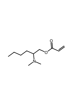 C=CC(=O)OCC(CCCC)N(C)C